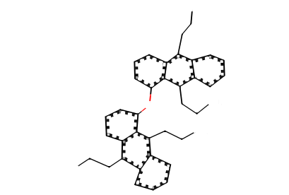 CCCc1c2ccccc2c(CCC)c2c(Oc3cccc4c(CCC)c5ccccc5c(CCC)c34)cccc12